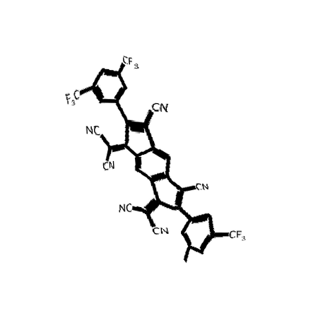 Cc1cc(C2=C(C#N)c3cc4c(cc3C2=C(C#N)C#N)C(=C(C#N)C#N)C(c2cc(C(F)(F)F)cc(C(F)(F)F)c2)=C4C#N)cc(C(F)(F)F)c1